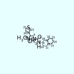 CN(C)[C@H](CNC(=O)N[C@H]1CCc2ccccc2C1)c1ccsc1